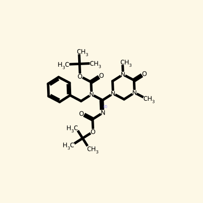 CN1CN(/C(=N/C(=O)OC(C)(C)C)N(Cc2ccccc2)C(=O)OC(C)(C)C)CN(C)C1=O